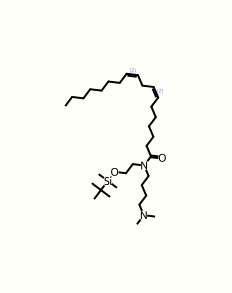 CCCCCCC/C=C\C/C=C\CCCCCC(=O)N(CCCCN(C)C)CCO[Si](C)(C)C(C)(C)C